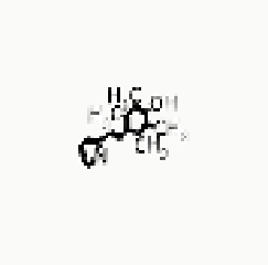 Cc1c(C)c(C=Cc2ccccn2)c(C)c(C)c1O